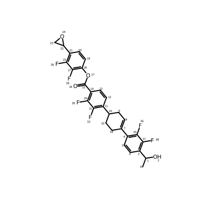 CC(O)c1ccc(C2=CCC(c3ccc(C(=O)Oc4ccc(C5CO5)c(F)c4F)c(F)c3F)CC2)c(F)c1F